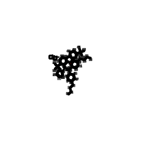 CCCCc1ccc([C](c2ccc(CCCC)cc2)=[Zr+2]([C]2=CC=CC2)[c]2c(C(C)(C)C)ccc3c2Cc2cc(C(C)(C)C)ccc2-3)cc1.[Cl-].[Cl-]